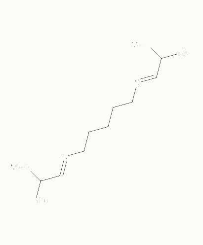 CCCCC(C=NCCCCCN=CC(CCCC)OC)OC